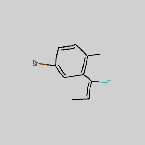 C/C=C(/F)c1cc(Br)ccc1C